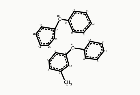 Cc1cccc(Oc2ccccc2)c1.c1ccc(Oc2ccccc2)cc1